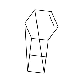 C1=CC2C3C4C1C1C2C3C41